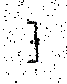 CCCCCCCC/C=C\CCCCCCCCOC(=O)C[N+](C)(C)C(C)OCCCCCCCC/C=C\CCCCCCCC.[Cl-]